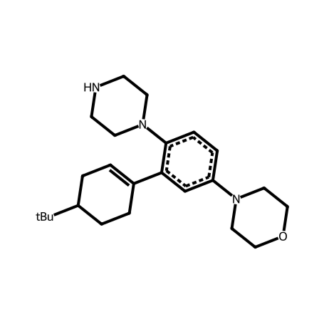 CC(C)(C)C1CC=C(c2cc(N3CCOCC3)ccc2N2CCNCC2)CC1